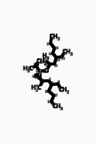 C=C(C)[SiH](OC(C)CC(CC)CCCC)OC(C)CC(CC)CCCC